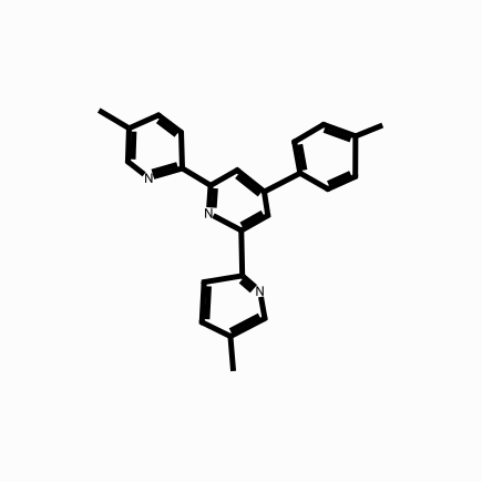 Cc1ccc(-c2cc(-c3ccc(C)cn3)nc(-c3ccc(C)cn3)c2)cc1